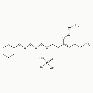 CCCC=C(CCOOOOOOC1CCCCC1)OOOC.O=P(O)(O)O